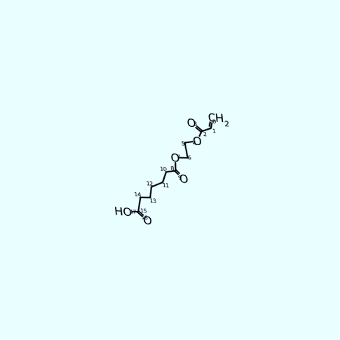 C=CC(=O)OCCOC(=O)CCCCCC(=O)O